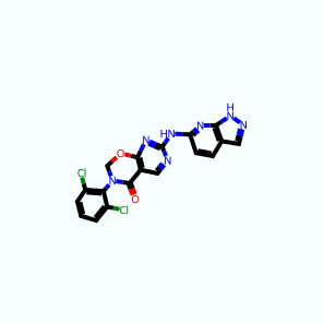 O=C1c2cnc(Nc3ccc4cn[nH]c4n3)nc2OCN1c1c(Cl)cccc1Cl